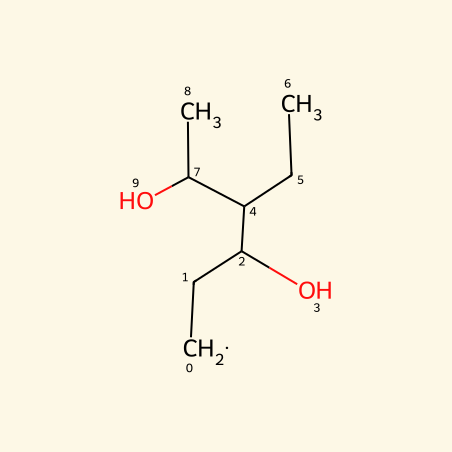 [CH2]CC(O)C(CC)C(C)O